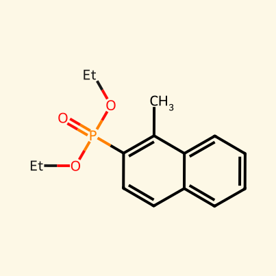 CCOP(=O)(OCC)c1ccc2ccccc2c1C